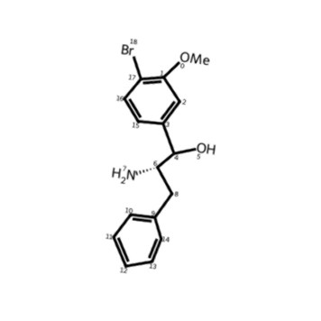 COc1cc(C(O)[C@@H](N)Cc2ccccc2)ccc1Br